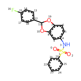 O=S(=O)(Nc1ccc2c(c1)OC(c1ccc(F)cc1)O2)c1ccccc1